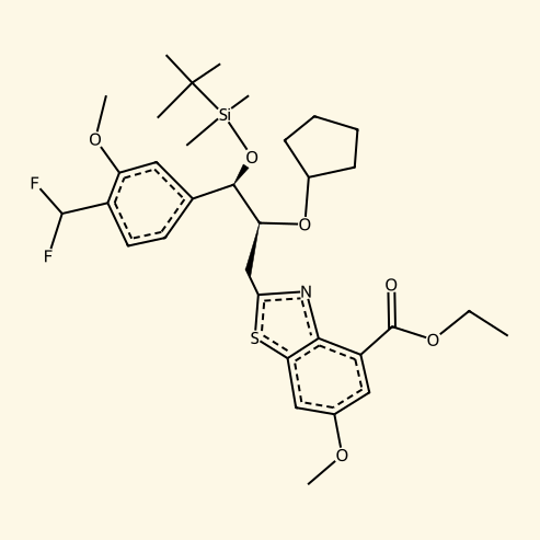 CCOC(=O)c1cc(OC)cc2sc(C[C@H](OC3CCCC3)[C@H](O[Si](C)(C)C(C)(C)C)c3ccc(C(F)F)c(OC)c3)nc12